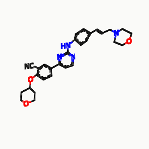 N#Cc1cc(-c2ccnc(Nc3ccc(C=CCN4CCOCC4)cc3)n2)ccc1OC1CCOCC1